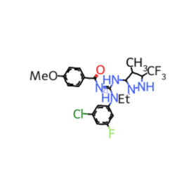 CCN1NC(C(F)(F)F)C(C)C1N/C(=N\C(=O)c1ccc(OC)cc1)Nc1cc(F)cc(Cl)c1